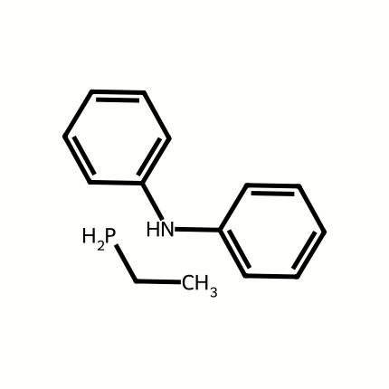 CCP.c1ccc(Nc2ccccc2)cc1